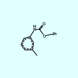 Cc1cccc(NC(=O)OC(C)C)c1